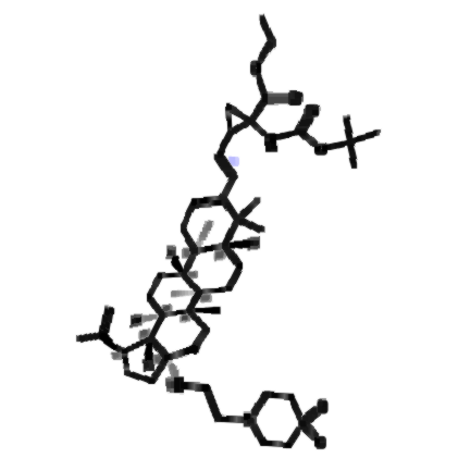 C=C(C)[C@@H]1CC[C@]2(NCCN3CCS(=O)(=O)CC3)CC[C@]3(C)[C@H](CC[C@@H]4[C@@]5(C)CC=C(/C=C/C6CC6(NC(=O)OC(C)(C)C)C(=O)OCC)C(C)(C)[C@@H]5CC[C@]43C)[C@@H]12